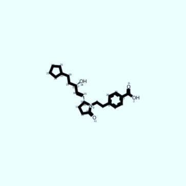 O=C(O)c1ccc(CCN2C(=O)CC[C@@H]2C=C[C@@H](O)CCC2CCCC2)cc1